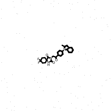 Cc1cc2ccccc2n1-c1ccc(C(=O)CN2C(=O)NC3(CCC(F)(F)CC3)C2=O)cc1